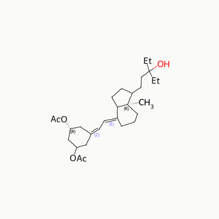 CCC(O)(CC)CCC1CCC2/C(=C/C=C3/CC(OC(C)=O)C[C@H](OC(C)=O)C3)CCC[C@]12C